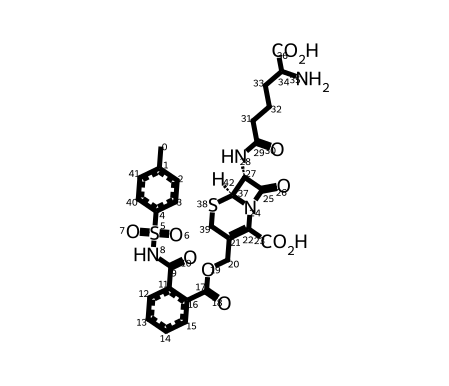 Cc1ccc(S(=O)(=O)NC(=O)c2ccccc2C(=O)OCC2=C(C(=O)O)N3C(=O)[C@@H](NC(=O)CCCC(N)C(=O)O)[C@@H]3SC2)cc1